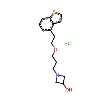 Cl.OC1CN(CCCOCCc2cccc3sccc23)C1